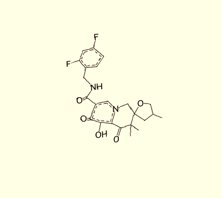 CC1COC2(C1)Cn1cc(C(=O)NCc3ccc(F)cc3F)c(=O)c(O)c1C(=O)C2(C)C